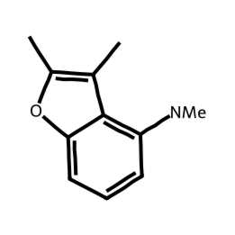 CNc1cccc2oc(C)c(C)c12